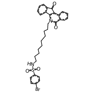 O=C1c2ccccc2-c2c1c1ccccc1c(=O)n2CCCCCCCCCCNS(=O)(=O)c1ccc(Br)cc1